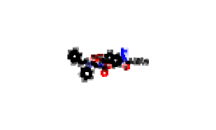 CNC(=O)Nc1ccc2c(c1)CC[C@@]21OC(=O)N(CC(=O)N(CCc2ccccc2)C2CCCCC2)C1=O